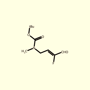 CN(C/C=C(\F)C=O)C(=O)OC(C)(C)C